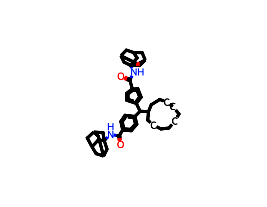 O=C(NC12CC3CC(CC(C3)C1)C2)c1ccc(C(c2ccc(C(=O)NC34CC5CC(CC(C5)C3)C4)cc2)C2CCCCCCCCCC2)cc1